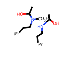 CC(C)CCN(C(=O)O)C(C)O.CC(C)CCNC(C)O